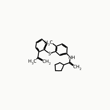 C=C(C)c1ccccc1Sc1cc(NC(=C)C2CCCC2)ccc1C